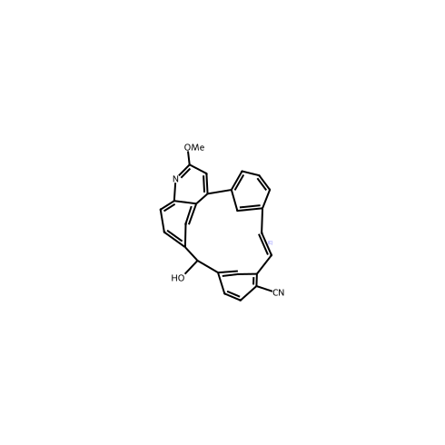 COc1cc2c3cc(ccc3n1)C(O)c1ccc(C#N)c(c1)/C=C/c1cccc-2c1